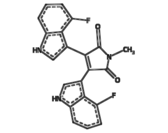 CN1C(=O)C(c2c[nH]c3cccc(F)c23)=C(c2c[nH]c3cccc(F)c23)C1=O